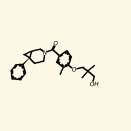 Cc1cc(C(=O)N2CC[C@]3(c4ccccc4)CC3C2)ccc1OCC(C)(C)CO